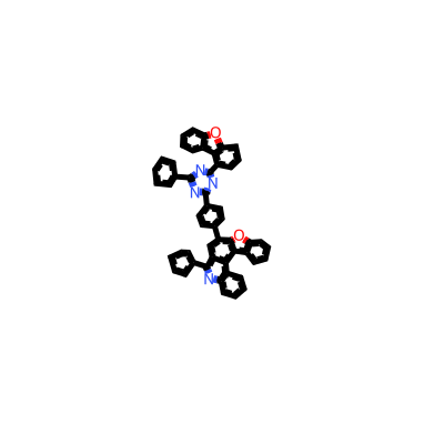 c1ccc(-c2nc(-c3ccc(-c4cc5c(-c6ccccc6)nc6ccccc6c5c5c4oc4ccccc45)cc3)nc(-c3cccc4oc5ccccc5c34)n2)cc1